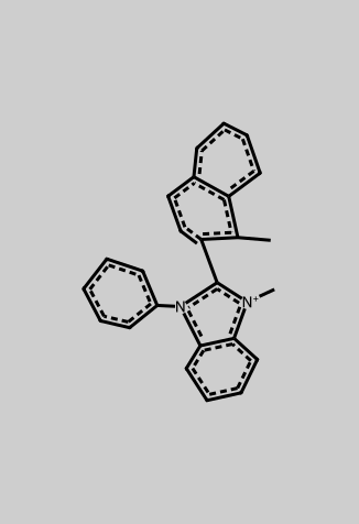 Cc1c(-c2n(-c3ccccc3)c3ccccc3[n+]2C)ccc2ccccc12